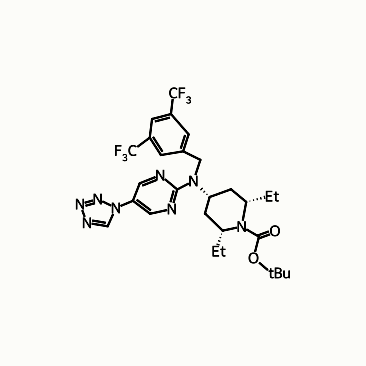 CC[C@@H]1C[C@H](N(Cc2cc(C(F)(F)F)cc(C(F)(F)F)c2)c2ncc(-n3cnnn3)cn2)C[C@H](CC)N1C(=O)OC(C)(C)C